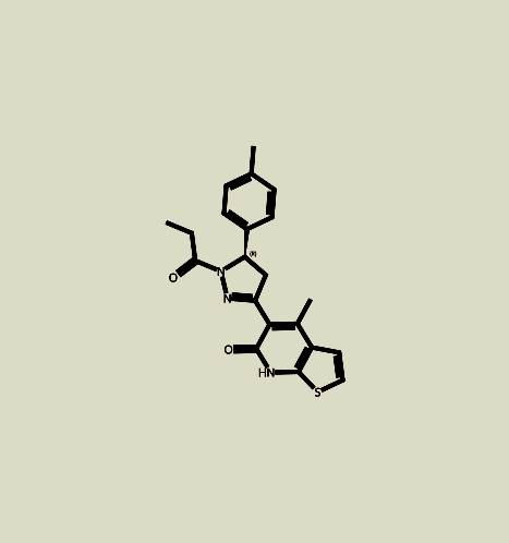 CCC(=O)N1N=C(c2c(C)c3ccsc3[nH]c2=O)C[C@@H]1c1ccc(C)cc1